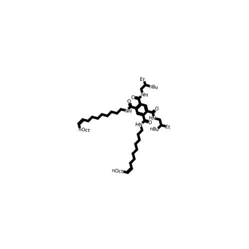 CCCCCCCC/C=C\CCCCCCCCNC(=O)c1cc(C(=O)NCCCCCCCC/C=C\CCCCCCCC)c(C(=O)NCC(CC)CCCC)cc1C(=O)NCC(CC)CCCC